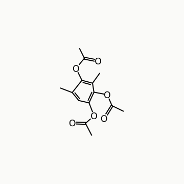 CC(=O)Oc1cc(C)c(OC(C)=O)c(C)c1OC(C)=O